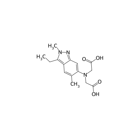 CCc1c2cc(C)c(N(CC(=O)O)CC(=O)O)cc2nn1C